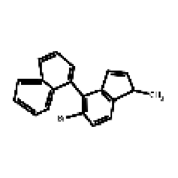 CC1C=Cc2c1ccc(Br)c2-c1cccc2ccccc12